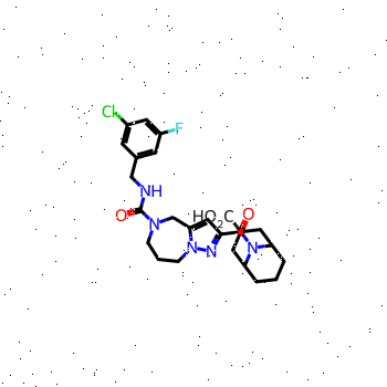 O=C(O)C1CC2CCCC(C1)N2C(=O)c1cc2n(n1)CCCN(C(=O)NCc1cc(F)cc(Cl)c1)C2